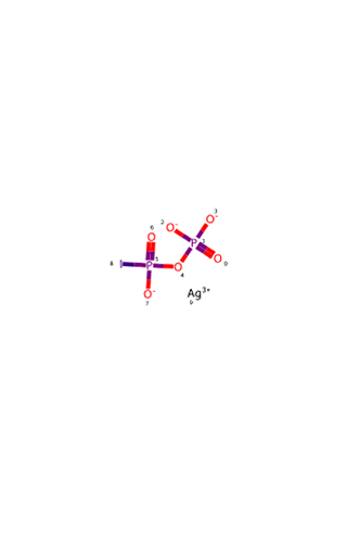 O=P([O-])([O-])OP(=O)([O-])I.[Ag+3]